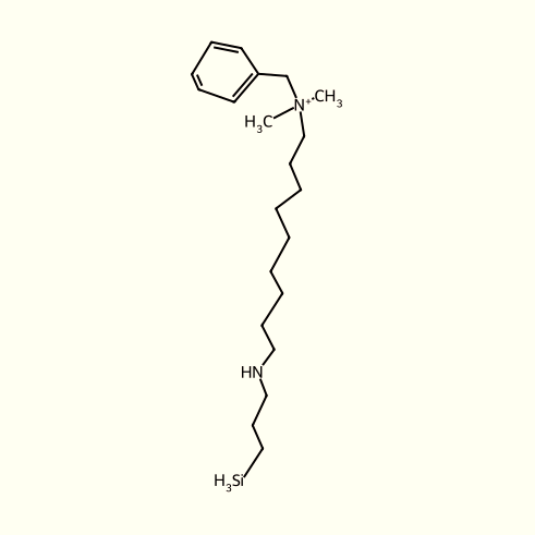 C[N+](C)(CCCCCCCCCNCCC[SiH3])Cc1ccccc1